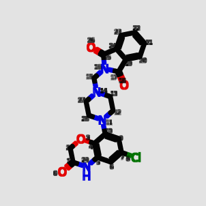 O=C1COc2c(cc(Cl)cc2N2CCN(CN3C(=O)c4ccccc4C3=O)CC2)N1